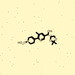 Cc1cc(C(O)[C@@H]2COC(C)(C)O2)cnc1C1=CCN(C(=O)O)CC1